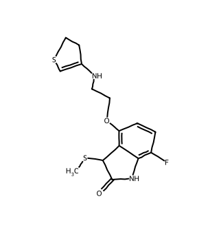 CSC1C(=O)Nc2c(F)ccc(OCCNC3=CSCC3)c21